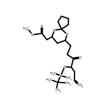 C=CCC(O[Si](C)(C)C(C)(C)C)C(=O)CCC1CC(CC(=O)OC)OC2(CCCC2)O1